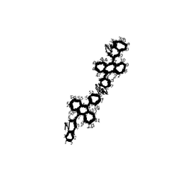 c1ccc2ncc(-c3c4ccccc4c(-c4ccc(-n5nc6ccc(-c7c8ccccc8c(-c8cnc9ccccc9c8)c8ccccc78)cc6n5)cc4)c4ccccc34)cc2c1